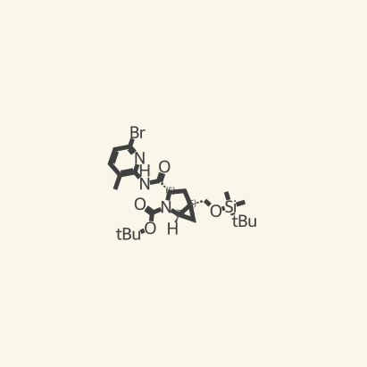 Cc1ccc(Br)nc1NC(=O)[C@@H]1C[C@@]2(CO[Si](C)(C)C(C)(C)C)C[C@H]2N1C(=O)OC(C)(C)C